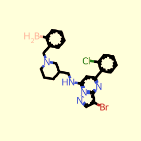 Bc1ccccc1CN1CCCC(CNc2cc(-c3ccccc3Cl)nc3c(Br)cnn23)C1